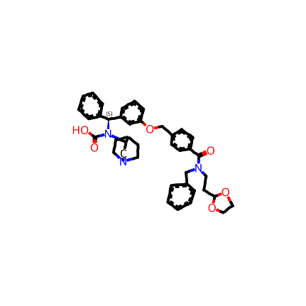 O=C(c1ccc(COc2cccc([C@H](c3ccccc3)N(C(=O)O)C3CN4CCC3CC4)c2)cc1)N(CCC1OCCO1)Cc1ccccc1